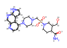 NC(=O)C1CCN(S(=O)(=O)CN2CCN(c3ccnc4cnc5[nH]ccc5c34)CC2)CC1C[O]